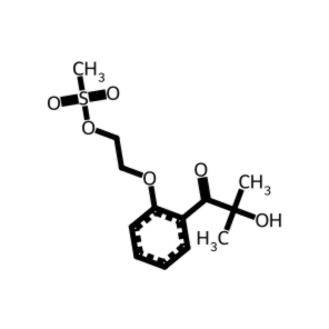 CC(C)(O)C(=O)c1ccccc1OCCOS(C)(=O)=O